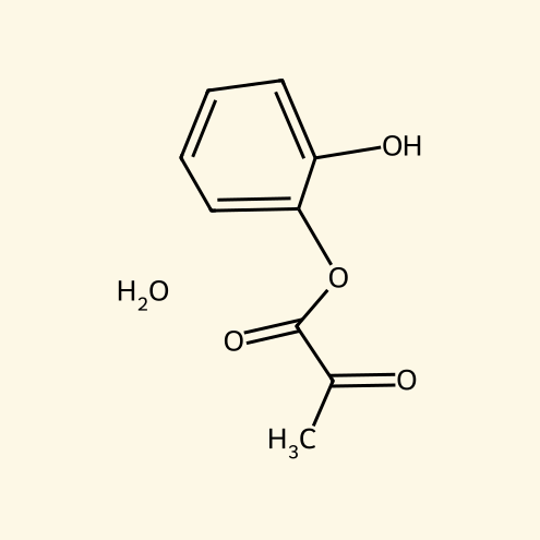 CC(=O)C(=O)Oc1ccccc1O.O